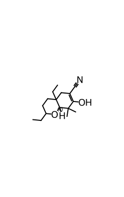 CCC1CCC2(CC)CC(C#N)=C(O)C(C)(C)[C@@H]2O1